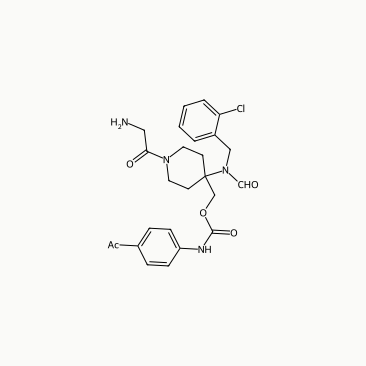 CC(=O)c1ccc(NC(=O)OCC2(N(C=O)Cc3ccccc3Cl)CCN(C(=O)CN)CC2)cc1